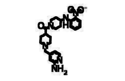 Nc1cc(CN2CCC(C(=O)N3CCC(Nc4ccccc4[N+](=O)[O-])CC3)CC2)ccn1